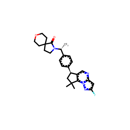 CC1(C)C[C@@H](c2ccc([C@H](N3CCC4(CCOCC4)C3=O)C(F)(F)F)cc2)c2cnc3cc(F)nn3c21